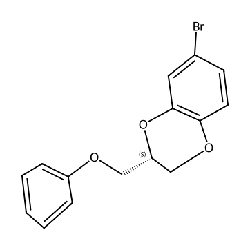 Brc1ccc2c(c1)O[C@@H](COc1ccccc1)CO2